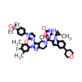 CCP(=O)(CC)c1ccc(-n2ccn(-c3c4c(nn3-c3cc(C)c(F)c(C)c3)CCN(C(=O)c3cc5cc(C6CCOCC6)ccc5n3[C@@]3(c5noc(=O)[nH]5)C[C@@H]3C)[C@H]4C)c2=O)cc1